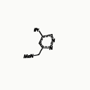 CNCc1cc(C(C)C)cnn1